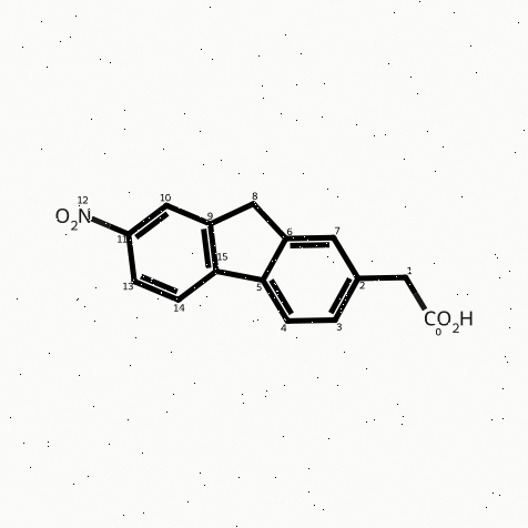 O=C(O)Cc1ccc2c(c1)Cc1cc([N+](=O)[O-])ccc1-2